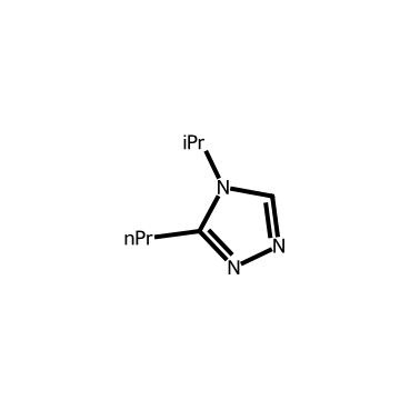 CCCc1nncn1C(C)C